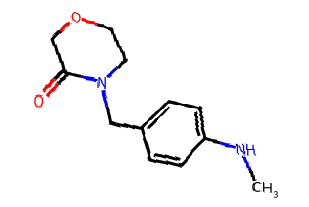 CNc1ccc(CN2CCOCC2=O)cc1